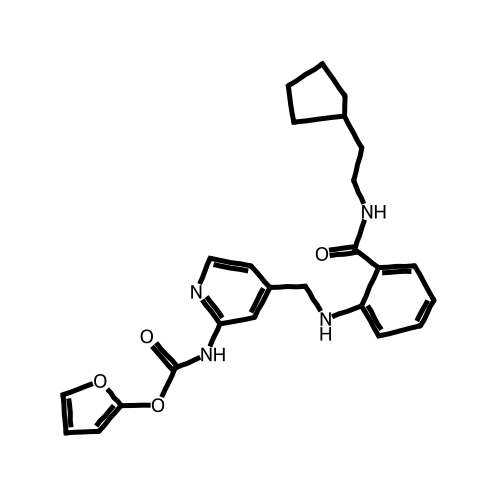 O=C(Nc1cc(CNc2ccccc2C(=O)NCCC2CCCC2)ccn1)Oc1ccco1